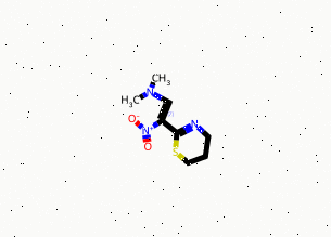 CN(C)/C=C(/C1=NCCCS1)[N+](=O)[O-]